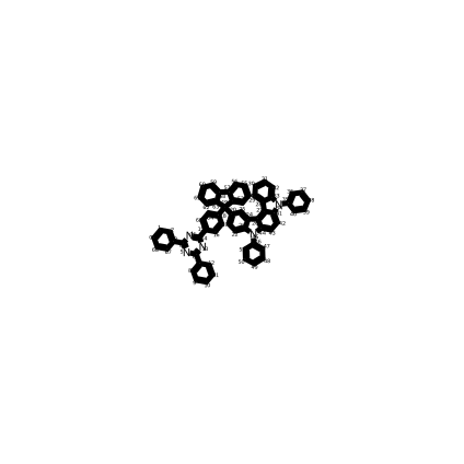 c1ccc(-c2nc(-c3ccccc3)nc(-c3ccc(C4(c5ccc6c(c5)c5c7c8ccccc8n(-c8ccccc8)c7ccc5n6-c5ccccc5)c5ccccc5-c5ccccc54)cc3)n2)cc1